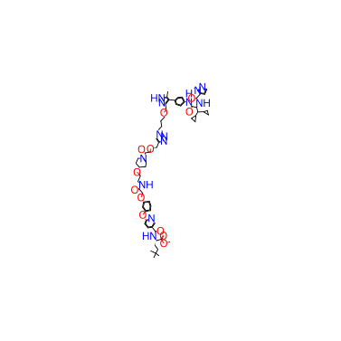 COC(=O)[C@H](CCC(C)(C)C)NC(=O)c1ccc(Oc2cccc(OCC(=O)NCCOC3CCN(C(=O)COCc4cn(CCCCOCc5n[nH]c(C)c5-c5ccc(NC(=O)[C@@H](NC(=O)c6ccnn6C)C(C6CC6)C6CC6)cc5)nn4)CC3)c2)nc1